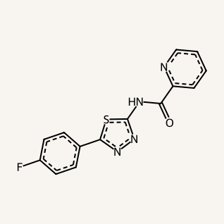 O=C(Nc1nnc(-c2ccc(F)cc2)s1)c1ccccn1